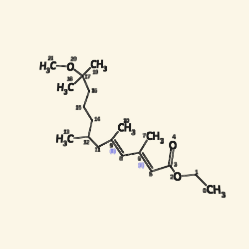 CCOC(=O)/C=C(C)/C=C(\C)CC(C)CCCC(C)(C)OC